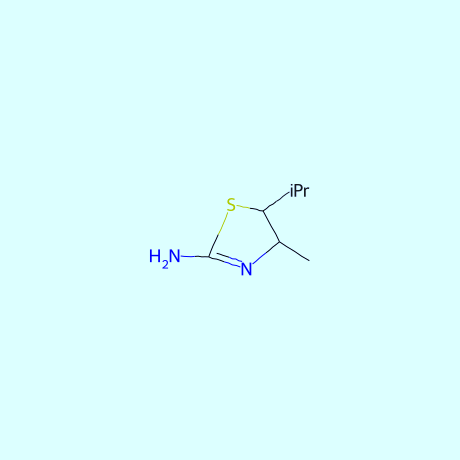 CC(C)C1SC(N)=NC1C